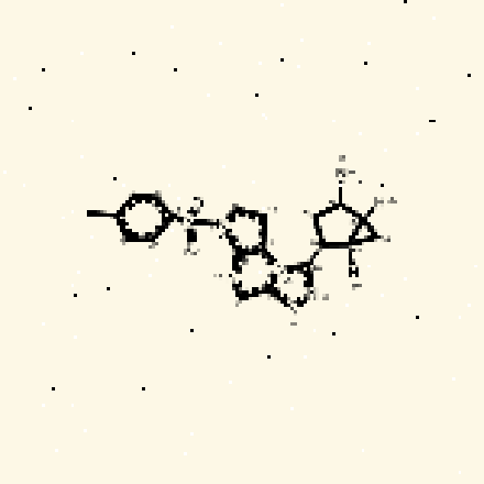 Cc1ccc(S(=O)(=O)n2ccc3c2ncc2nnc([C@H]4C[C@@H](N)[C@@H]5C[C@@H]54)n23)cc1